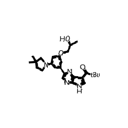 CC(O)COc1cc(-c2cnc3[nH]cc(C(=O)C(C)(C)C)c3n2)cc(N2CCC(C)(C)C2)c1